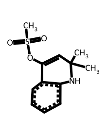 CC1(C)C=C(OS(C)(=O)=O)c2ccccc2N1